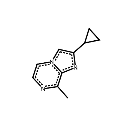 Cc1nccn2cc(C3CC3)nc12